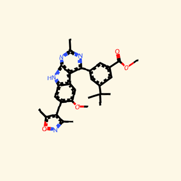 COC(=O)c1cc(-c2nc(C)nc3[nH]c4cc(-c5c(C)noc5C)c(OC)cc4c23)cc(C(C)(C)C)c1